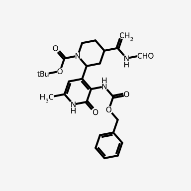 C=C(NC=O)C1CCN(C(=O)OC(C)(C)C)C(c2cc(C)[nH]c(=O)c2NC(=O)OCc2ccccc2)C1